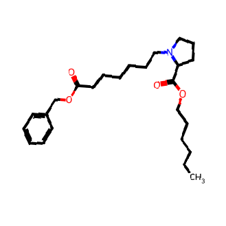 CCCCCCOC(=O)C1CCCN1CCCCCCC(=O)OCc1ccccc1